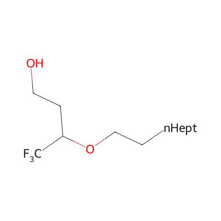 CCCCCCCCCOC(CCO)C(F)(F)F